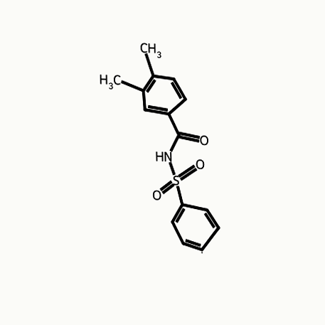 Cc1ccc(C(=O)NS(=O)(=O)c2cc[c]cc2)cc1C